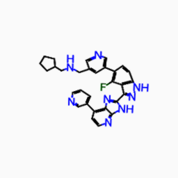 Fc1c(-c2cncc(CNCC3CCCC3)c2)ccc2[nH]nc(-c3nc4c(-c5cccnc5)ccnc4[nH]3)c12